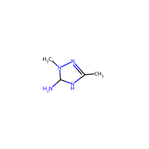 CC1=NN(C)C(N)N1